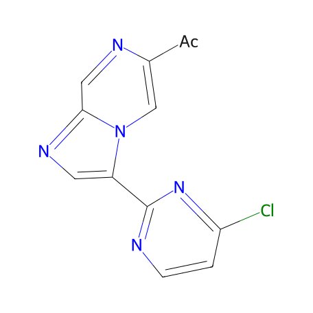 CC(=O)c1cn2c(-c3nccc(Cl)n3)cnc2cn1